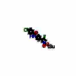 CC(C)(C)OC(=O)N1CC(F)C(c2ccc(NC(=O)c3ccc(Cl)cc3)cc2)C1